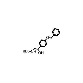 CCCCNC[C@H](O)c1ccc(OCc2ccccc2)cc1